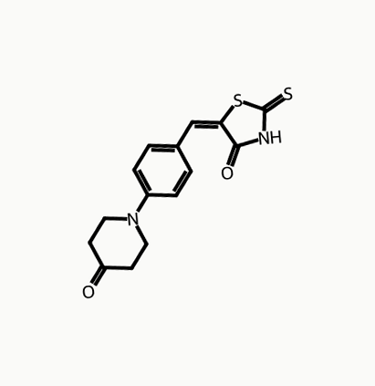 O=C1CCN(c2ccc(C=C3SC(=S)NC3=O)cc2)CC1